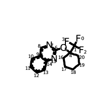 FC(F)(F)C1(Oc2ncc3ccccc3n2)CCCCC1